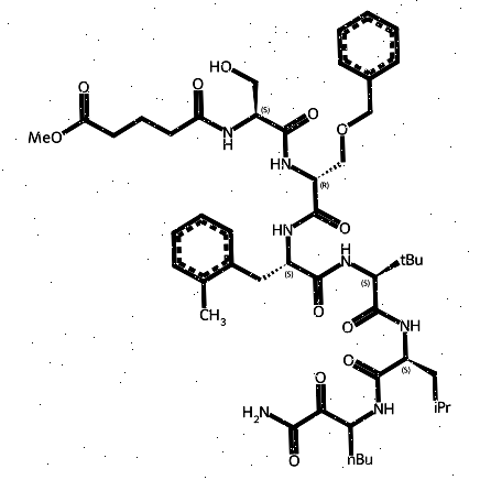 CCCCC(NC(=O)[C@H](CC(C)C)NC(=O)[C@@H](NC(=O)[C@H](Cc1ccccc1C)NC(=O)[C@@H](COCc1ccccc1)NC(=O)[C@H](CO)NC(=O)CCCC(=O)OC)C(C)(C)C)C(=O)C(N)=O